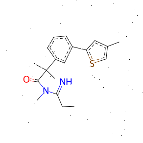 CCC(=N)N(C)C(=O)C(C)(C)c1cccc(-c2cc(C)cs2)c1